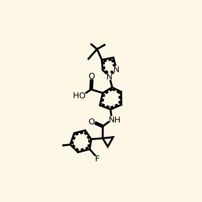 Cc1ccc(C2(C(=O)Nc3ccc(-n4cc(C(C)(C)C)cn4)c(C(=O)O)c3)CC2)c(F)c1